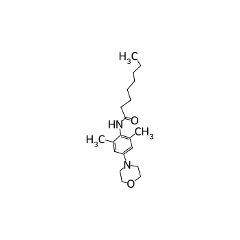 CCCCCCCC(=O)Nc1c(C)cc(N2CCOCC2)cc1C